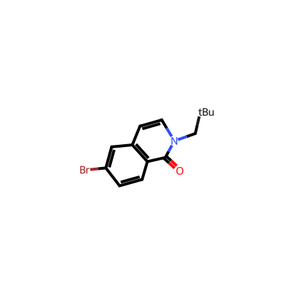 CC(C)(C)Cn1ccc2cc(Br)ccc2c1=O